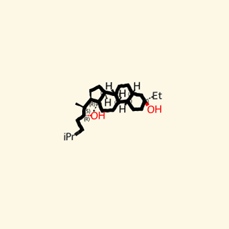 CC[C@]1(O)CC[C@H]2[C@@H](CC[C@@H]3[C@@H]2CC[C@@]2(C)[C@@H]([C@H](C)[C@H](O)CCC(C)C)CC[C@@H]32)C1